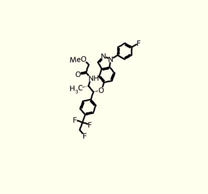 COCC(=O)N[C@@H](C)[C@H](Oc1ccc2c(cnn2-c2ccc(F)cc2)c1)c1ccc(C(F)(F)CF)cc1